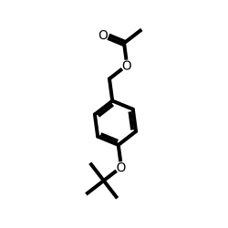 CC(=O)OCc1ccc(OC(C)(C)C)cc1